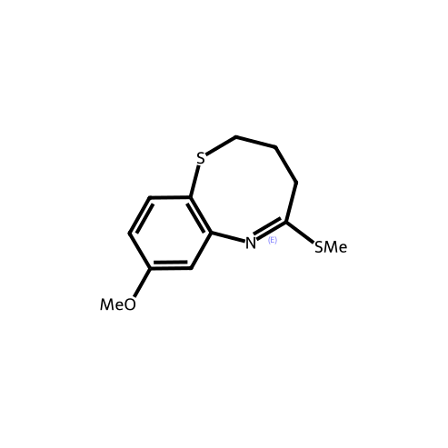 COc1ccc2c(c1)/N=C(/SC)CCCS2